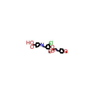 COc1ccc(/C=C/C(=O)Oc2c(Cl)cc(/C=N/c3ccc(C(=O)O)cc3)cc2OC)cc1